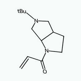 C=CC(=O)N1CCC2CN(C(C)(C)C)CC21